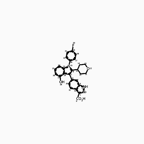 O=C(O)c1n[nH]c2cc(-c3c(C4CCOCC4)n(-c4ccc(F)cc4)c4cccc(O)c34)ccc12